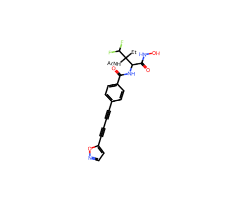 CCC(NC(C)=O)(C(F)F)C(NC(=O)c1ccc(C#CC#Cc2ccno2)cc1)C(=O)NO